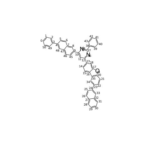 c1ccc(-c2ccc3cc(-c4cc(-c5ccc6c(c5)oc5ccc(-c7ccc8ccccc8c7)cc56)nc(-c5ccccc5)n4)ccc3c2)cc1